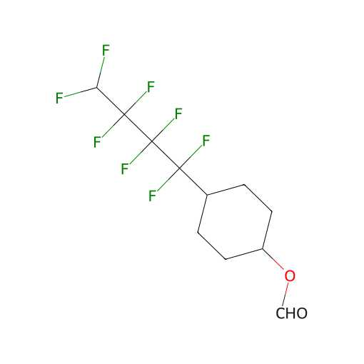 O=COC1CCC(C(F)(F)C(F)(F)C(F)(F)C(F)F)CC1